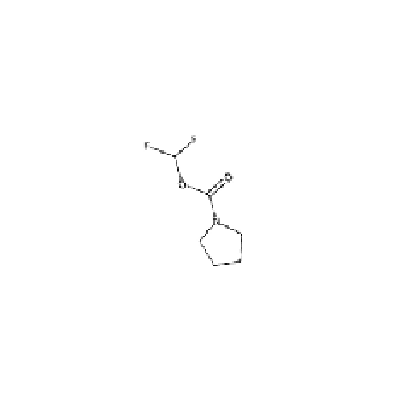 O=C(OC(F)F)N1CCCC1